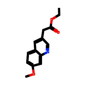 CCOC(=O)Cc1cnc2cc(OC)ccc2c1